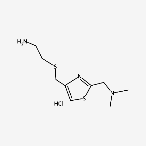 CN(C)Cc1nc(CSCCN)cs1.Cl